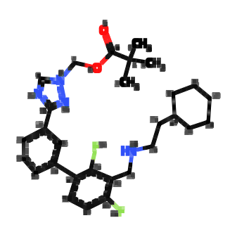 CC(C)(C)C(=O)OCn1cnc(-c2cccc(-c3ccc(F)c(CNCCC4CCCCC4)c3F)c2)n1